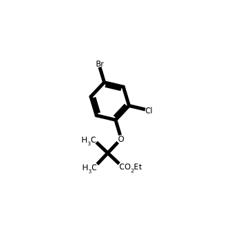 CCOC(=O)C(C)(C)Oc1ccc(Br)cc1Cl